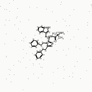 CC(C)(N)C(=O)N[C@H](Cc1c[nH]c2ccccc12)c1nnc(CCc2ccccc2)n1CCc1ccccc1